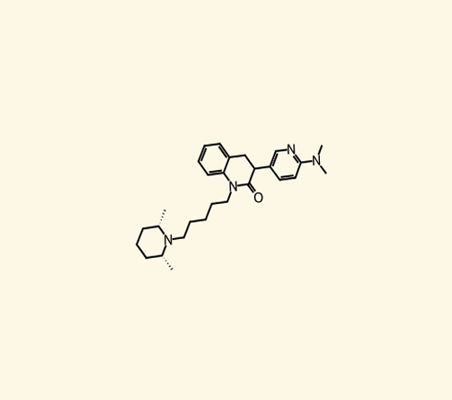 C[C@@H]1CCC[C@H](C)N1CCCCCN1C(=O)C(c2ccc(N(C)C)nc2)Cc2ccccc21